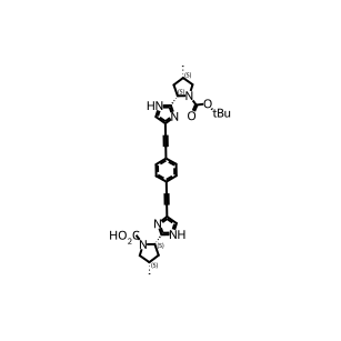 C[C@H]1C[C@@H](c2nc(C#Cc3ccc(C#Cc4c[nH]c([C@@H]5C[C@H](C)CN5C(=O)OC(C)(C)C)n4)cc3)c[nH]2)N(C(=O)O)C1